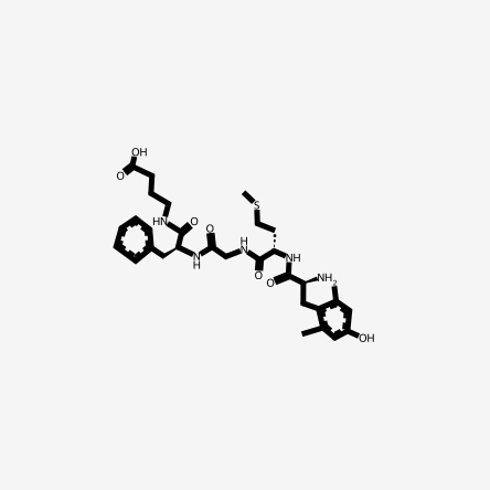 CSCC[C@H](NC(=O)[C@@H](N)Cc1c(C)cc(O)cc1C)C(=O)NCC(=O)N[C@@H](Cc1ccccc1)C(=O)NCCCC(=O)O